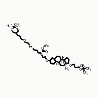 CC(C)(C)OC(=O)N(CCCSSCCOCCCC1COC(C)(C)OC1)CCOc1ccc2c(c1)CC[C@@H]1[C@@H]2CC[C@]2(C)[C@@H](OCCCOC(C(F)(F)F)(C(F)(F)F)C(F)(F)F)CC[C@@H]12